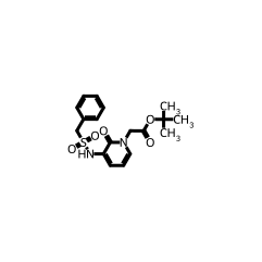 CC(C)(C)OC(=O)Cn1cccc(NS(=O)(=O)Cc2ccccc2)c1=O